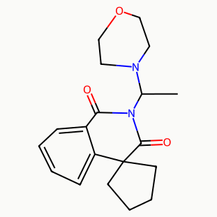 CC(N1CCOCC1)N1C(=O)c2ccccc2C2(CCCC2)C1=O